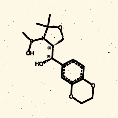 CB(O)N1[C@@H]([C@H](O)c2ccc3c(c2)OCCO3)COC1(C)C